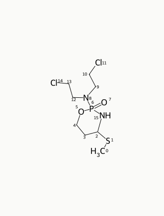 CSC1CCOP(=O)(N(CCCl)CCCl)N1